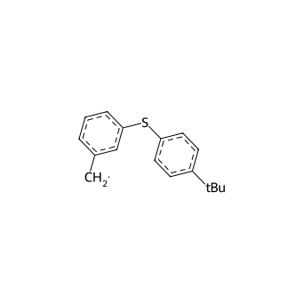 [CH2]c1cccc(Sc2ccc(C(C)(C)C)cc2)c1